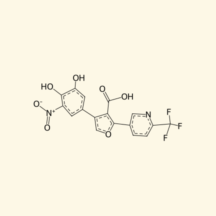 O=C(O)c1c(-c2cc(O)c(O)c([N+](=O)[O-])c2)coc1-c1ccc(C(F)(F)F)nc1